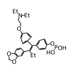 CC/C(=C(/c1ccc(OCCN(CC)CC)cc1)c1ccc(OP(O)O)cc1)c1ccc2c(c1)OCO2